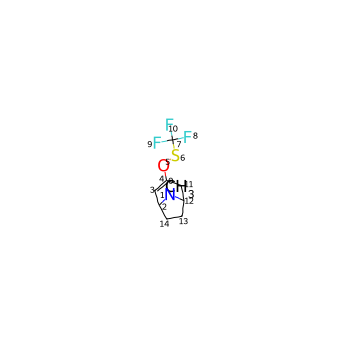 CN1C2C=C(OSC(F)(F)F)CC1CC2